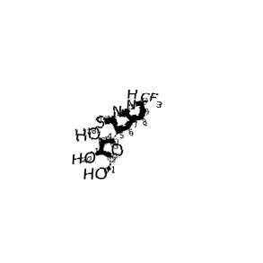 OC[C@H]1O[C@@H](c2cc3ccc(C(F)(F)F)[nH]c-3nc2=S)[C@@H](O)C1O